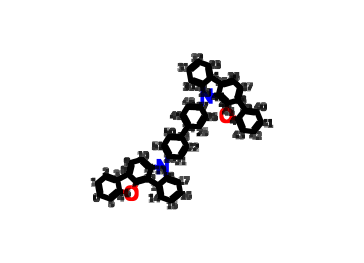 c1ccc2c(c1)oc1c2ccc2c1c1ccccc1n2-c1ccc(-c2ccc(-n3c4ccccc4c4ccc5c6ccccc6oc5c43)cc2)cc1